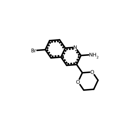 Nc1nc2ccc(Br)cc2cc1C1OCCCO1